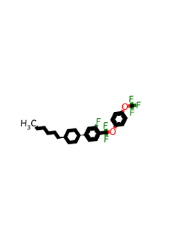 CCCCCC[C@H]1CC[C@H](c2ccc(C(F)(F)Oc3ccc(OC(F)(F)F)cc3)c(F)c2)CC1